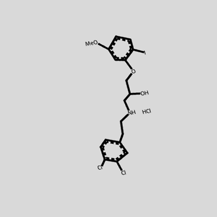 COc1ccc(I)c(OCC(O)CNCCc2ccc(Cl)c(Cl)c2)c1.Cl